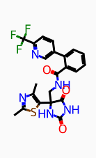 Cc1nc(C)c(C2(CNC(=O)c3ccccc3-c3ccc(C(F)(F)F)nc3)NC(=O)NC2=O)s1